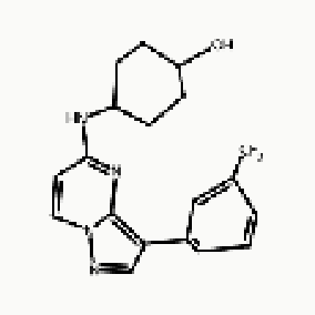 OC1CCC(Nc2ccn3ncc(-c4cccc(C(F)(F)F)c4)c3n2)CC1